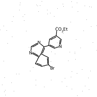 CCOC(=O)c1cncc(-c2ncnc3ccc(Br)cc23)c1